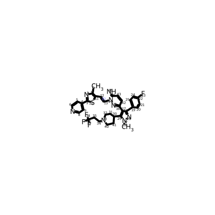 Cc1nc(-c2ccncc2)sc1/C=C/n1nc(-c2c(-c3ccc(F)cc3)nn(C)c2C2CCN(CCC(F)(F)F)CC2)ccc1=N